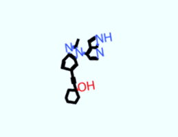 Cc1nc2ccc(C#CC3(O)CCCCC3)cc2n1-c1ccnc2[nH]ccc12